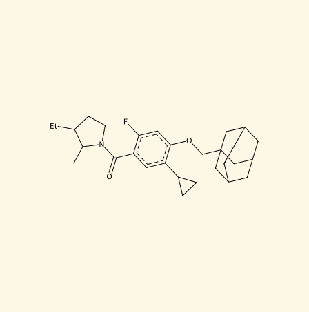 CCC1CCN(C(=O)c2cc(C3CC3)c(OCC34CC5CC(CC(C5)C3)C4)cc2F)C1C